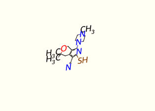 CN1CCN(c2nc(S)c(C#N)c3c2COC(C)(C)C3)CC1